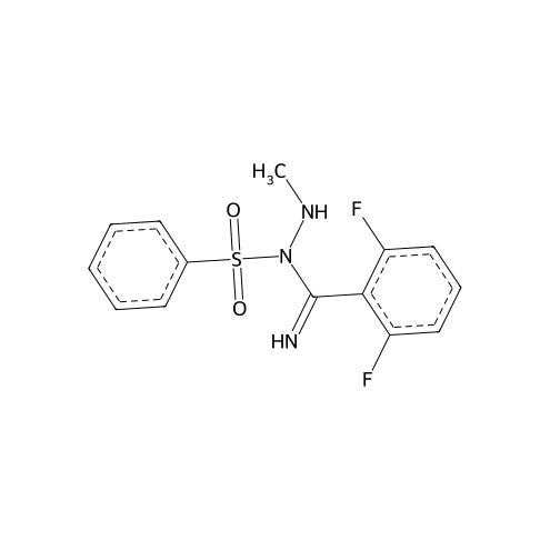 CNN(C(=N)c1c(F)cccc1F)S(=O)(=O)c1ccccc1